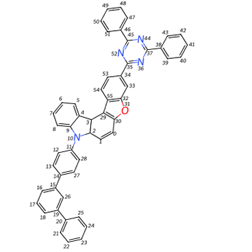 C1=CC2C(c3ccccc3N2c2ccc(-c3cccc(-c4ccccc4)c3)cc2)c2c1oc1cc(-c3nc(-c4ccccc4)nc(-c4ccccc4)n3)ccc21